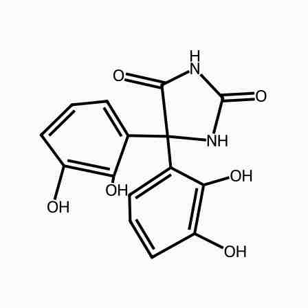 O=C1NC(=O)C(c2cccc(O)c2O)(c2cccc(O)c2O)N1